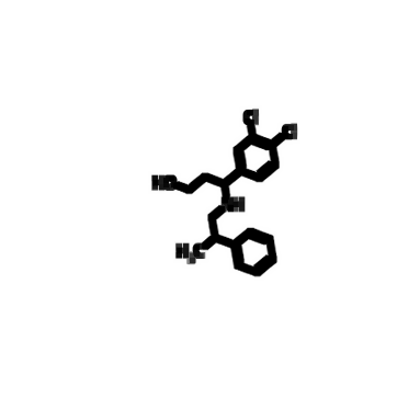 CC(CNC(CCO)c1ccc(Cl)c(Cl)c1)c1ccccc1